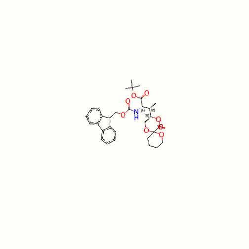 C[C@@H]([C@@H]1COC2(CCCCO2)C2(CCCCO2)O1)[C@H](NC(=O)OCC1c2ccccc2-c2ccccc21)C(=O)OC(C)(C)C